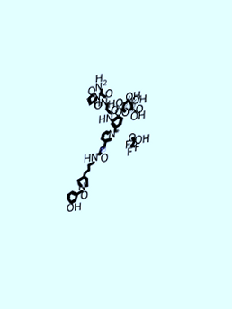 NCC(C(=O)NCCC(=O)Nc1cc(C[n+]2cccc(/C=C/C(=O)NCCCCC3CCN(C(=O)c4cccc(O)c4)CC3)c2)ccc1O[C@@H]1O[C@H](C(=O)O)[C@@H](O)[C@H](O)[C@H]1O)N1C(=O)C=CC1=O.O=C(O)C(F)(F)F